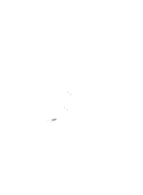 N#CCN1CCN(CCCO)CC1